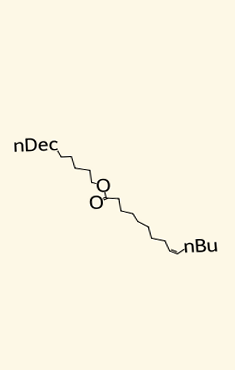 CCCC/C=C\CCCCCCCC(=O)OCCCCCCCCCCCCCCC